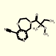 CC[C@](C)(OC)C(=O)N1CCOc2c(C#N)cncc2C1